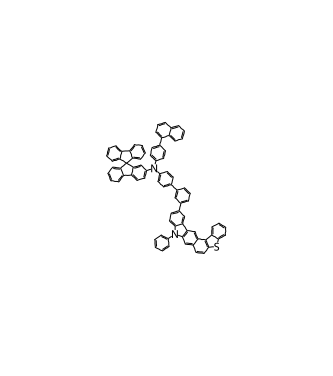 c1ccc(-n2c3ccc(-c4cccc(-c5ccc(N(c6ccc(-c7cccc8ccccc78)cc6)c6ccc7c(c6)C6(c8ccccc8-c8ccccc86)c6ccccc6-7)cc5)c4)cc3c3cc4c(ccc5sc6ccccc6c54)cc32)cc1